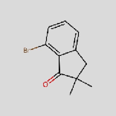 CC1(C)Cc2cccc(Br)c2C1=O